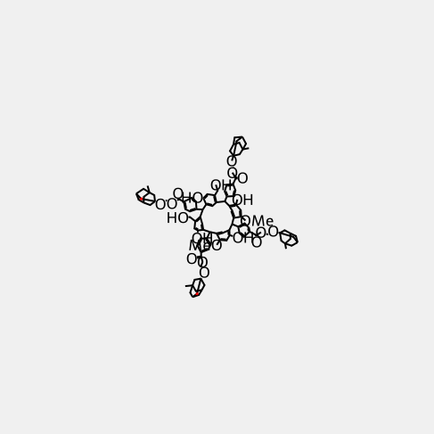 COc1cc(O)c2cc1C(c1ccc(C(=O)OCOC34CC5CC(CC(C)(C5)C3)C4)cc1)c1cc(c(OC)cc1O)C(c1ccc(C(=O)OCOC34CC5CC(CC(C)(C5)C3)C4)cc1)c1cc(c(CO)cc1O)C(c1ccc(C(=O)OCOC34CC5CC(CC(C)(C5)C3)C4)cc1)c1cc(c(CO)cc1O)C2c1ccc(C(=O)OCOC23CC4CC(CC(C)(C4)C2)C3)cc1